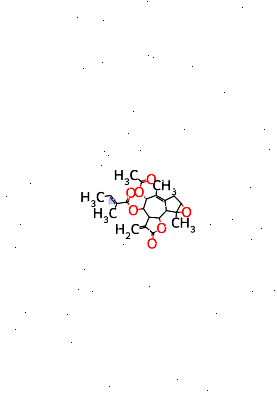 C=C1C(=O)OC2C1C(OC(=O)/C(C)=C/C)C(OC(C)=O)C(C)=C1CC3OC3(C)C12